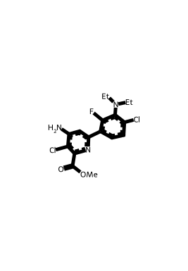 CCN(CC)c1c(Cl)ccc(-c2cc(N)c(Cl)c(C(=O)OC)n2)c1F